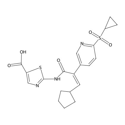 O=C(Nc1ncc(C(=O)O)s1)/C(=C\C1CCCC1)c1ccc(S(=O)(=O)C2CC2)nc1